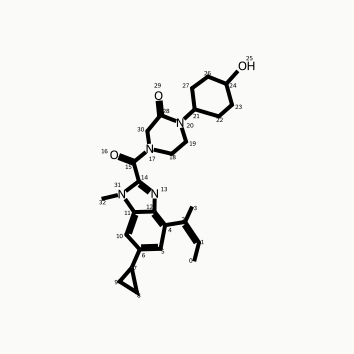 C/C=C(/C)c1cc(C2CC2)cc2c1nc(C(=O)N1CCN(C3CCC(O)CC3)C(=O)C1)n2C